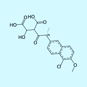 COc1ccc2cc([C@@H](C)C(=O)C(C(=O)O)C(O)C(=O)O)ccc2c1Cl